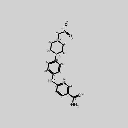 NC(=O)c1ccc(Nc2ccc(N3CCN(C[SH](=O)=O)CC3)cc2)nc1